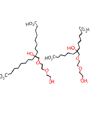 O=C(O)CCCCCC(O)(CCCCCC(=O)O)COCCOCCO.O=C(O)CCCCCCCC(O)(CCCCCCCC(=O)O)COCCOCCO